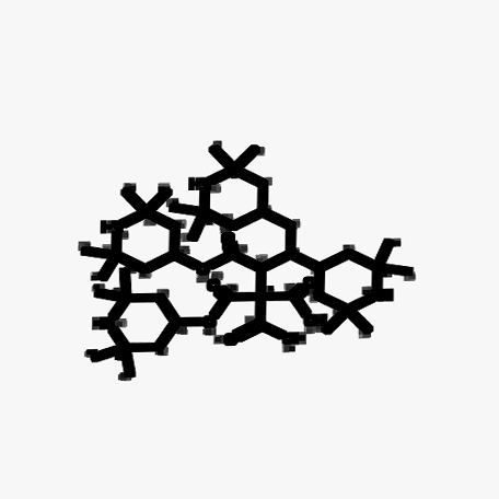 CC1(C)CC(CC(C2CC(C)(C)NC(C)(C)C2)C(C(=O)OC2CC(C)(C)NC(C)(C)C2)C(C(=O)O)(C(=O)O)C(=O)OC2CC(C)(C)NC(C)(C)C2)CC(C)(C)N1